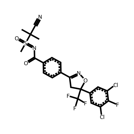 CC(C)(C#N)S(C)(=O)=NC(=O)c1ccc(C2=NOC(c3cc(Cl)c(F)c(Cl)c3)(C(F)(F)F)C2)cc1